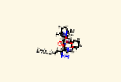 CCOC(=O)CCC(=N)c1nc2ccccc2n([C@H]2C[C@H]3CC[C@@H](C2)N3C2CC3CCCCC(C3)C2)c1=O